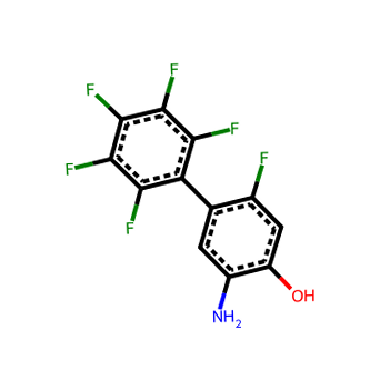 Nc1cc(-c2c(F)c(F)c(F)c(F)c2F)c(F)cc1O